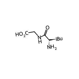 CC[C@H](C)[C@H](N)C(=O)NCC(=O)O